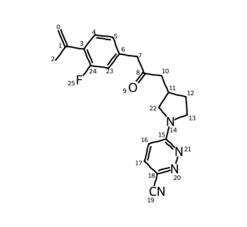 C=C(C)c1ccc(CC(=O)CC2CCN(c3ccc(C#N)nn3)C2)cc1F